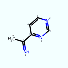 CC(=N)c1ccncn1